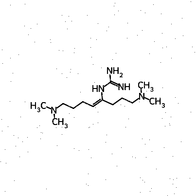 CN(C)CCCC=C(CCCN(C)C)NC(=N)N